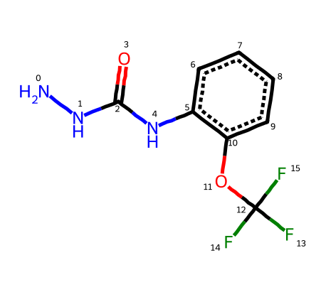 NNC(=O)Nc1ccccc1OC(F)(F)F